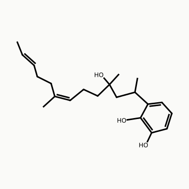 CC=CCCC(C)=CCCC(C)(O)CC(C)c1cccc(O)c1O